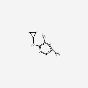 Nc1ccc(OC2CC2)c(C(F)(F)F)c1